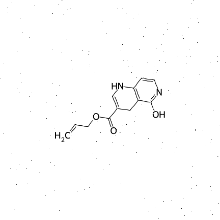 C=CCOC(=O)C1=CNc2ccnc(O)c2C1